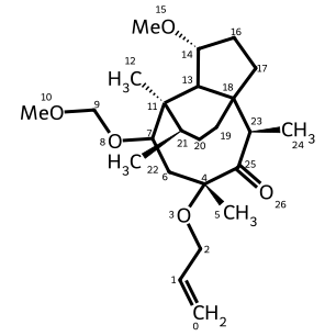 C=CCO[C@]1(C)CC(OCOC)[C@@]2(C)C3[C@H](OC)CCC3(CC[C@H]2C)[C@@H](C)C1=O